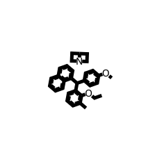 C1CN2CCC12.CCOc1c(C)cccc1C(c1ccc(OC)cc1)c1cccc2ccccc12